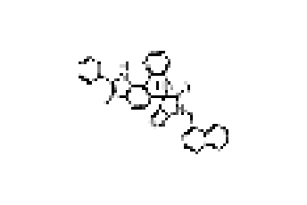 Cc1c(-c2ccccc2)[nH]c2c3c(ccc12)C1(Nc2ccccc2-3)C(=O)N(Cc2cccc3ccccc23)c2ccccc21